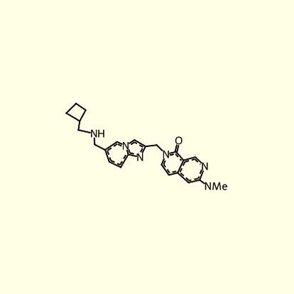 CNc1cc2ccn(Cc3cn4cc(CNCC5CCC5)ccc4n3)c(=O)c2cn1